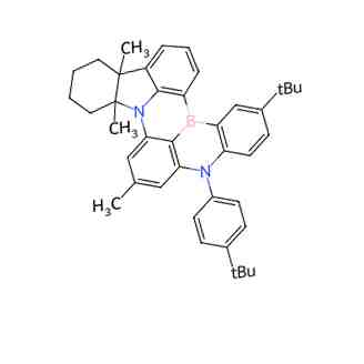 Cc1cc2c3c(c1)N1c4c(cccc4C4(C)CCCCC14C)B3c1cc(C(C)(C)C)ccc1N2c1ccc(C(C)(C)C)cc1